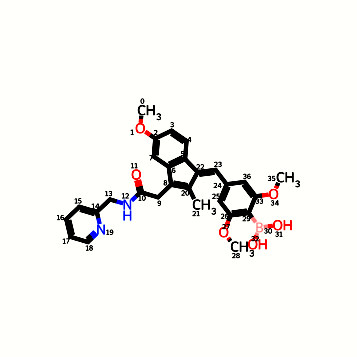 COc1ccc2c(c1)C(CC(=O)NCc1ccccn1)=C(C)C2=Cc1cc(OC)c(B(O)O)c(OC)c1